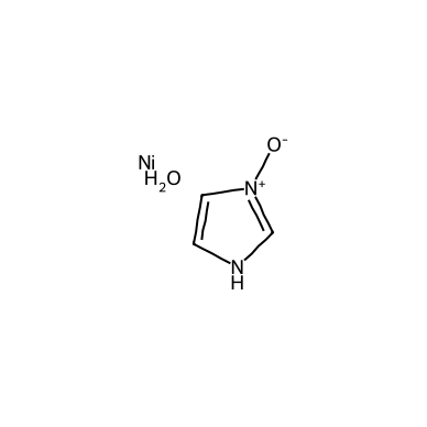 O.[Ni].[O-][n+]1cc[nH]c1